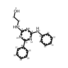 OCCNc1nc(Nc2ccccc2)nc(-c2ccccc2)n1